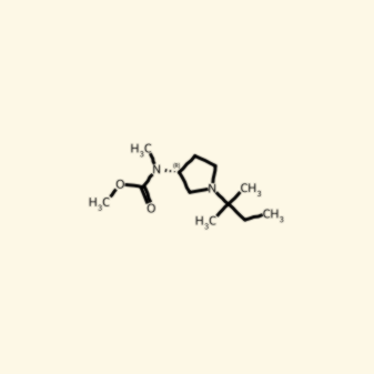 CCC(C)(C)N1CC[C@@H](N(C)C(=O)OC)C1